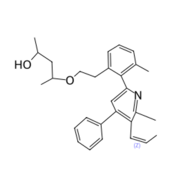 C/C=C\c1c(-c2ccccc2)cc(-c2c(C)cccc2CCOC(C)CC(C)O)nc1C